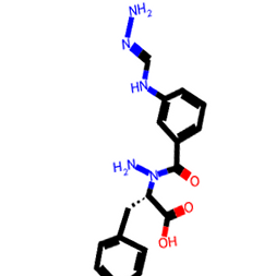 NN=CNc1cccc(C(=O)N(N)[C@@H](Cc2ccccc2)C(=O)O)c1